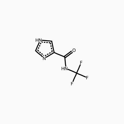 O=C(NC(F)(F)F)c1c[nH]cn1